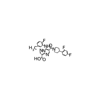 Cc1ccc(F)c(Nc2c(C(=O)N3CCC(c4ccc(F)cc4F)CC3)cnc3c(C(=O)O)cnn23)c1